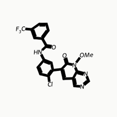 COn1c(=O)c(-c2cc(NC(=O)c3cccc(C(F)(F)F)c3)ccc2Cl)cc2cncnc21